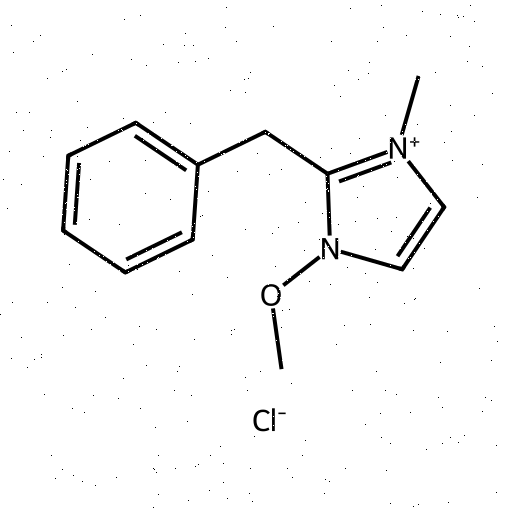 COn1cc[n+](C)c1Cc1ccccc1.[Cl-]